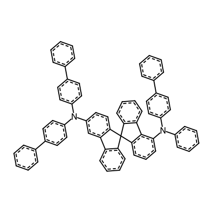 c1ccc(-c2ccc(N(c3ccc(-c4ccccc4)cc3)c3ccc4c(c3)-c3ccccc3C43c4ccccc4-c4c(N(c5ccccc5)c5ccc(-c6ccccc6)cc5)cccc43)cc2)cc1